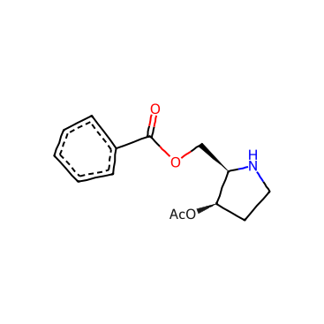 CC(=O)O[C@@H]1CCN[C@@H]1COC(=O)c1ccccc1